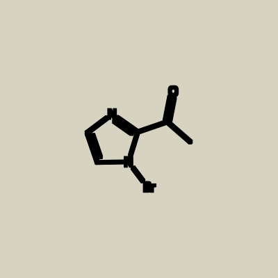 CC(=O)c1nccn1Br